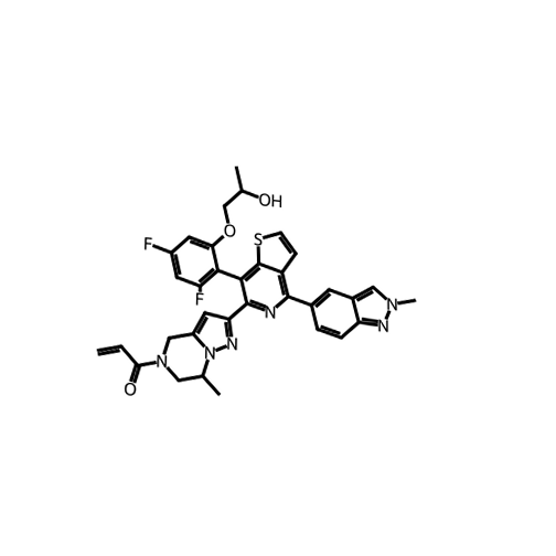 C=CC(=O)N1Cc2cc(-c3nc(-c4ccc5nn(C)cc5c4)c4ccsc4c3-c3c(F)cc(F)cc3OCC(C)O)nn2C(C)C1